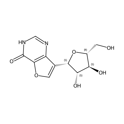 O=c1[nH]cnc2c([C@@H]3O[C@H](CO)[C@@H](O)[C@@H]3O)coc12